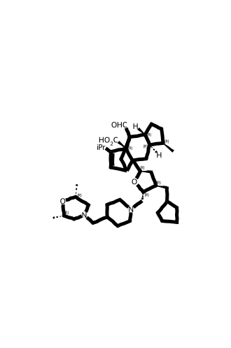 CC(C)C1=CC2CC3(C=O)[C@@H]4CC[C@@H](C)[C@H]4CC2([C@H]2C[C@@H](CC4CCCC4)[C@H](CN4CCC(CN5C[C@@H](C)O[C@@H](C)C5)CC4)O2)[C@]13C(=O)O